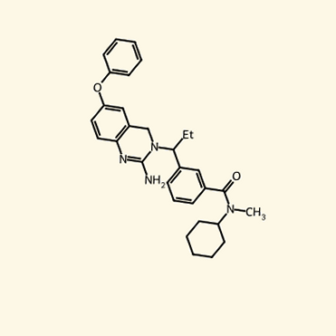 CCC(c1cccc(C(=O)N(C)C2CCCCC2)c1)N1Cc2cc(Oc3ccccc3)ccc2N=C1N